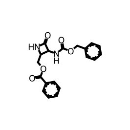 O=C(NC1C(=O)NC1COC(=O)c1ccccc1)OCc1ccccc1